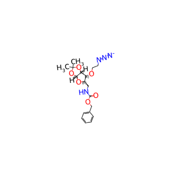 CC1(C)O[C@H]2O[C@H](CNC(=O)OCc3ccccc3)[C@@H](OCCN=[N+]=[N-])[C@H]2O1